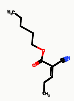 CCC=C(C#N)C(=O)OCCCCC